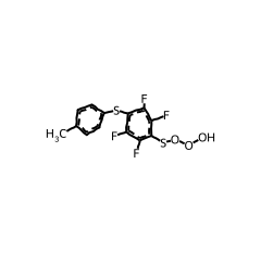 Cc1ccc(Sc2c(F)c(F)c(SOOO)c(F)c2F)cc1